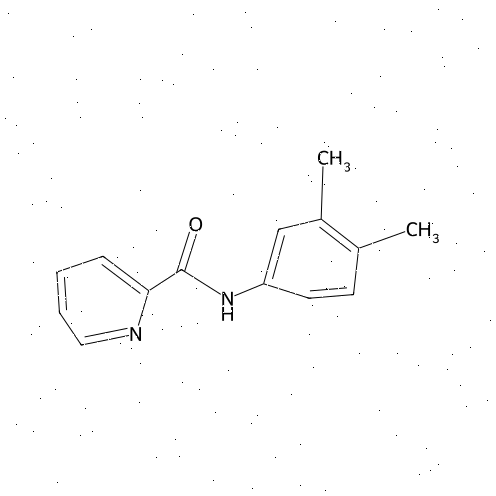 Cc1ccc(NC(=O)c2ccccn2)cc1C